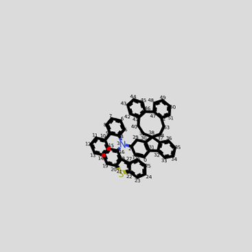 C1=CC(N(c2ccccc2-c2ccccc2)c2cccc3sc4ccccc4c23)CC2=C1c1ccccc1C21CCc2ccccc2-c2ccccc2CC1